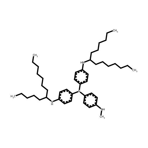 CCCCCCCC(CCCCC)Nc1ccc(N(c2ccc(NC)cc2)c2ccc(NC(CCCCCC)CCCCCCC)cc2)cc1